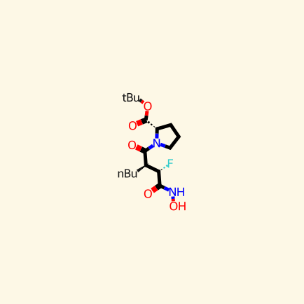 CCCC[C@@H](C(=O)N1CCC[C@H]1C(=O)OC(C)(C)C)[C@H](F)C(=O)NO